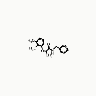 Cc1cccc(OC(C)C(=O)NCc2cccnc2)c1C